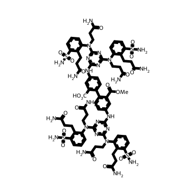 COC(=O)c1cc(Nc2nc(N(CCC(N)=O)c3cccc(S(N)(=O)=O)c3CCC(N)=O)nc(N(CCC(N)=O)c3cccc(S(N)(=O)=O)c3CCC(N)=O)n2)ccc1-c1ccc(Nc2nc(N(CCC(N)=O)c3cccc(S(N)(=O)=O)c3CCC(N)=O)nc(N(CCC(N)=O)c3cccc(S(N)(=O)=O)c3CCC(N)=O)n2)cc1C(=O)O